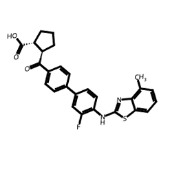 Cc1cccc2sc(Nc3ccc(-c4ccc(C(=O)[C@@H]5CCC[C@H]5C(=O)O)cc4)cc3F)nc12